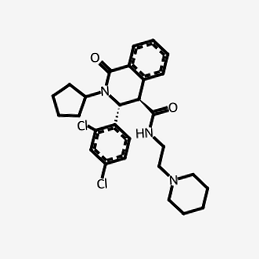 O=C(NCCN1CCCCC1)[C@@H]1c2ccccc2C(=O)N(C2CCCC2)[C@H]1c1ccc(Cl)cc1Cl